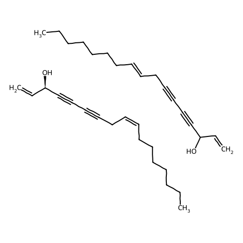 C=CC(O)C#CC#CC/C=C/CCCCCCC.C=C[C@@H](O)C#CC#CC/C=C\CCCCCCC